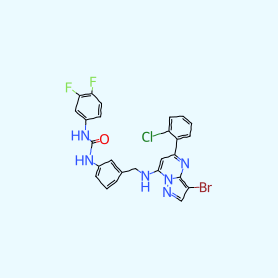 O=C(Nc1cccc(CNc2cc(-c3ccccc3Cl)nc3c(Br)cnn23)c1)Nc1ccc(F)c(F)c1